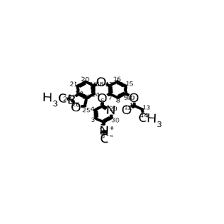 [C-]#[N+]c1ccc(Oc2cc(OC(=O)CC)ccc2Oc2ccc3c(c2)COB3C)nc1